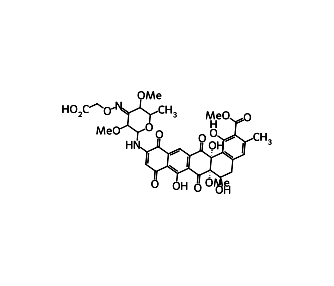 COC(=O)c1c(C)cc2c(c1O)[C@]1(O)C(=O)c3cc4c(c(O)c3C(=O)[C@]1(OC)[C@H](O)C2)C(=O)C=C(NC1OC(C)C(OC)C(=NOCC(=O)O)C1OC)C4=O